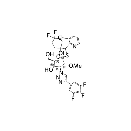 CO[C@@H]1[C@@H](n2cc(-c3cc(F)c(F)c(F)c3)nn2)[C@@H](O)[C@@H](CO)O[C@H]1SC(c1ncccc1Cl)C1(O)CCC(F)(F)CC1